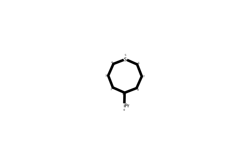 CC(C)C1CCCSCCC1